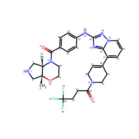 C[C@@]12CNC[C@@H]1N(C(=O)c1ccc(Nc3nc4c(C5=CCN(C(=O)CCC(F)(F)F)CC5)cccn4n3)cc1)CCO2